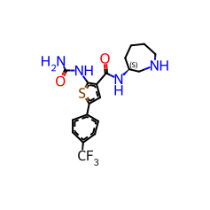 NC(=O)Nc1sc(-c2ccc(C(F)(F)F)cc2)cc1C(=O)N[C@H]1CCCCNC1